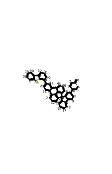 C=C/C=C\C(=C/C)c1ccc2c(c1)C1(c3ccccc3-2)c2cccc3c4ccc(-c5cccc6c5sc5ccccc56)cc4c4cccc1c4c23